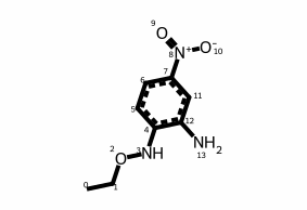 CCONc1ccc([N+](=O)[O-])cc1N